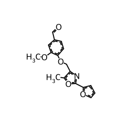 COc1cc(C=O)ccc1OCc1nc(-c2ccco2)oc1C